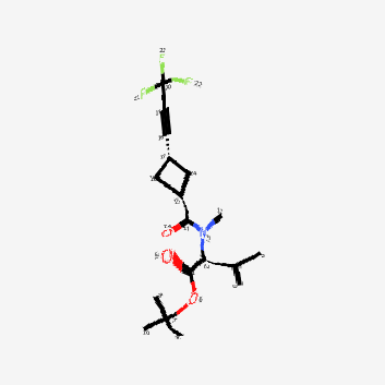 CC(C)[C@@H](C(=O)OC(C)(C)C)N(C)C(=O)[C@H]1C[C@H](C#CC(F)(F)F)C1